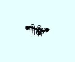 CC(C)(C)OC(=O)N[C@@H](CCCNC(=O)OCc1ccccc1)C(=O)NCC(=O)OCc1ccccc1